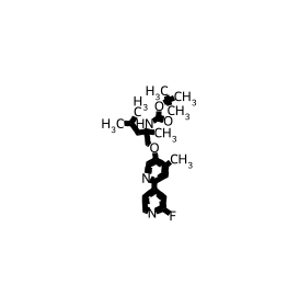 Cc1cc(-c2ccnc(F)c2)ncc1OCC(C)(CC(C)C)NC(=O)OC(C)(C)C